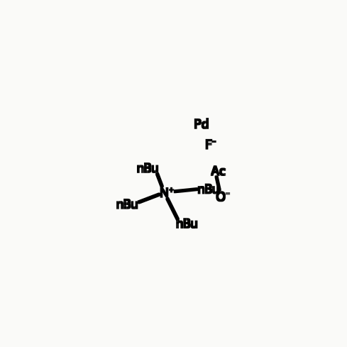 CC(=O)[O-].CCCC[N+](CCCC)(CCCC)CCCC.[F-].[Pd]